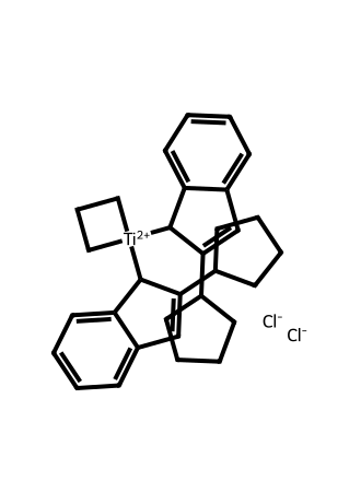 C1=C(C2CCCC2)[CH]([Ti+2]2([CH]3C(C4CCCC4)=Cc4ccccc43)[CH2]C[CH2]2)c2ccccc21.[Cl-].[Cl-]